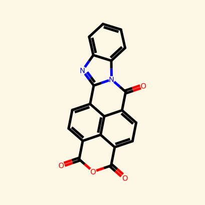 O=C1OC(=O)c2ccc3c4c2c1ccc4c(=O)n1c2ccccc2nc31